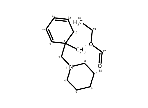 CC1(CN2CCCCC2)C=CC=CC1.CCOC=O